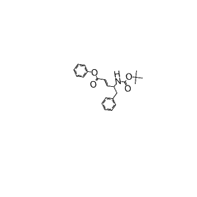 CC(C)(C)OC(=O)NC(C=CC(=O)Oc1ccccc1)Cc1ccccc1